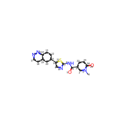 Cn1cc(C(=O)Nc2ncc(-c3ccc4nnccc4c3)s2)ccc1=O